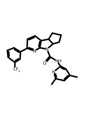 Cc1cc(C)nc(NC(=O)N2c3nc(-c4cccc(C(F)(F)F)c4)ccc3C3CCCC32)c1